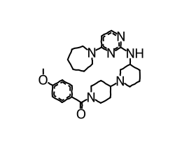 COc1ccc(C(=O)N2CCC(N3CCCC(Nc4nccc(N5CCCCCC5)n4)C3)CC2)cc1